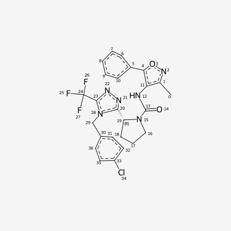 Cc1noc(-c2ccccc2)c1NC(=O)N1CCC[C@@H]1c1nnc(C(F)(F)F)n1Cc1ccc(Cl)cc1